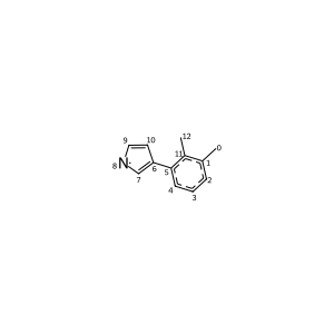 Cc1cccc(C2=C[N]C=C2)c1C